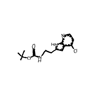 CC(C)(C)OC(=O)NCCc1cc2c(Cl)ccnc2[nH]1